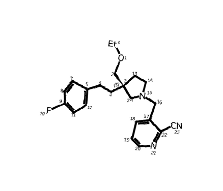 CCOC[C@@]1(CCc2ccc(F)cc2)CCN(Cc2cccnc2C#N)C1